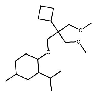 COCC(COC)(COC1CCC(C)CC1C(C)C)C1CCC1